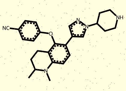 CC1CCc2c(ccc(-c3cnn(C4CCNCC4)c3)c2Oc2ccc(C#N)cc2)N1C